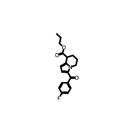 CCCOC(=O)C1CCCn2c(C(=O)c3ccc(F)cc3)ccc21